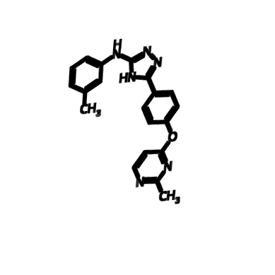 Cc1cccc(Nc2nnc(-c3ccc(Oc4ccnc(C)n4)cc3)[nH]2)c1